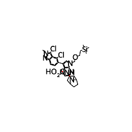 Cn1nc2ccc(-c3cn(COCC[Si](C)(C)C)c4nc(N5C6CCC5CC(NC(=O)O)C6)cnc34)c(Cl)c2c1Cl